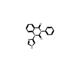 O=c1c2ccccc2n(-c2c[nH]cn2)c(=O)n1-c1ccccc1